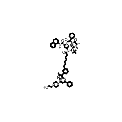 Cc1nn2c(N3CCN(CCO)CC3)cc(-c3ccccc3)nc2c1-c1cccc(CCCCCCC(=O)N[C@H]2C[C@@H](C(=O)N[C@@H]3CCCc4ccccc43)N(C(=O)[C@@H](NC(=O)[C@H](C)N(C)C(=O)OC(C)(C)C)C3CCCCC3)C2)c1